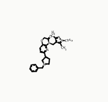 Cc1nn(C)c(C)c1CN1C(=O)COc2ccc(C3CCN(Cc4ccccc4)C3)nc21